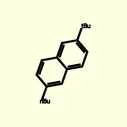 CCCCc1ccc2cc(C(C)(C)C)ccc2c1